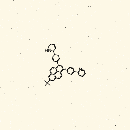 CC(C)(C)c1cc2ccc3c(C4=CCC(C5C=CCCN5)C=C4)cc(-c4ccc(-c5ccccn5)cc4)c4ccc(c1)c2c34